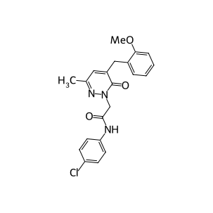 COc1ccccc1Cc1cc(C)nn(CC(=O)Nc2ccc(Cl)cc2)c1=O